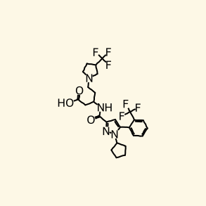 O=C(O)CC(CCN1CCC(C(F)(F)F)C1)NC(=O)c1cc(-c2ccccc2C(F)(F)F)n(C2CCCC2)n1